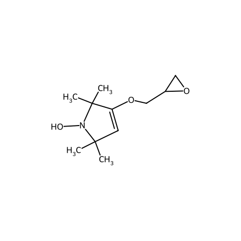 CC1(C)C=C(OCC2CO2)C(C)(C)N1O